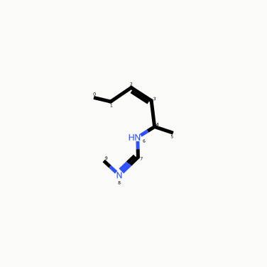 CC/C=C\C(C)N/C=N\C